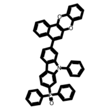 O=P(c1ccccc1)(c1ccccc1)c1ccc2c3ccc(-c4cc5c(c6ccccc46)Oc4ccccc4O5)cc3n(-c3ccccc3)c2c1